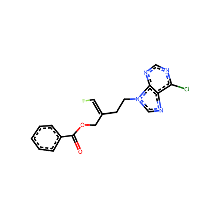 O=C(OCC(=CF)CCn1cnc2c(Cl)ncnc21)c1ccccc1